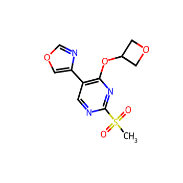 CS(=O)(=O)c1ncc(-c2cocn2)c(OC2COC2)n1